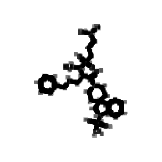 CCN(CC)CCCS(=O)(=O)N(C)[C@H](COCc1ccccc1)C(=O)N1CCC2(CC1)CN(S(C)(=O)=O)c1ccccc12